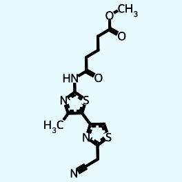 COC(=O)CCCC(=O)Nc1nc(C)c(-c2csc(CC#N)n2)s1